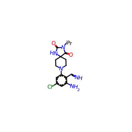 CC(C)N1C(=O)NC2(CCN(c3cc(Cl)cc(N)c3C=N)CC2)C1=O